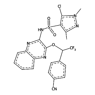 Cc1nn(C)c(Cl)c1S(=O)(=O)Nc1nc2ccccc2nc1OC(c1ccc(C#N)cc1)C(F)(F)F